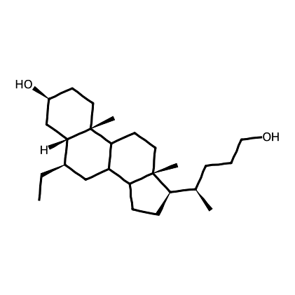 CC[C@@H]1CC2C3CC[C@H]([C@H](C)CCCO)[C@@]3(C)CCC2[C@@]2(C)CC[C@H](O)C[C@@H]12